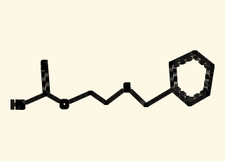 S=C(S)OCCSCc1ccccc1